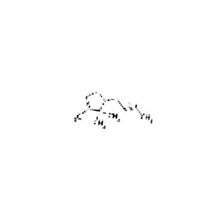 C/[C]=C/CC1CC=C(C)C1(C)C